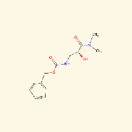 CN(C)C(=O)[C@@H](O)CNC(=O)OCc1ccccc1